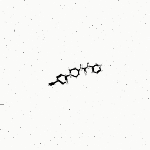 C#Cc1ccc(N2CCC(NC(=O)Nc3cccnc3)CC2)nc1